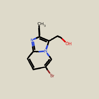 Cc1nc2ccc(Br)cn2c1CO